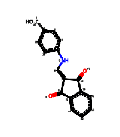 O=C(O)c1ccc(NC=C2C(=O)c3ccccc3C2=O)cc1